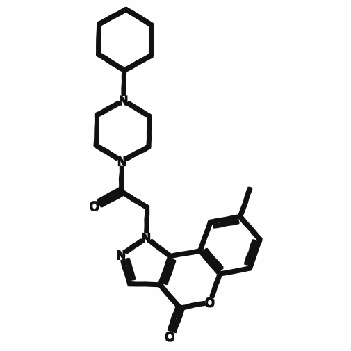 Cc1ccc2oc(=O)c3cnn(CC(=O)N4CCN(C5CCCCC5)CC4)c3c2c1